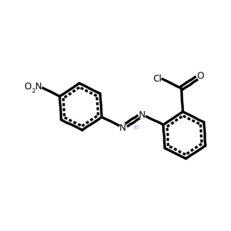 O=C(Cl)c1ccccc1/N=N/c1ccc([N+](=O)[O-])cc1